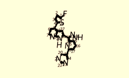 Fc1ccc(-c2ccnc3[nH]c(-c4n[nH]c5ccc(-c6cncnc6)nc45)cc23)s1